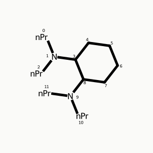 CCCN(CCC)C1CCCCC1N(CCC)CCC